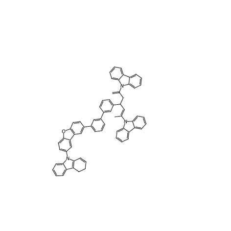 C=C(CC(/C=C(\C)n1c2ccccc2c2ccccc21)c1cccc(-c2cccc(-c3ccc4oc5ccc(-n6c7c(c8ccccc86)CCC=C7)cc5c4c3)c2)c1)n1c2ccccc2c2ccccc21